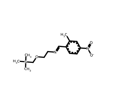 Cc1cc([N+](=O)[O-])ccc1C=NCCOC[Si](C)(C)C